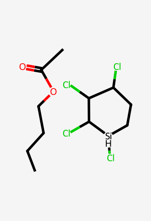 CCCCOC(C)=O.ClC1CC[SiH](Cl)C(Cl)C1Cl